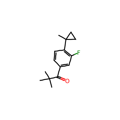 CC(C)(C)C(=O)c1ccc(C2(C)CC2)c(F)c1